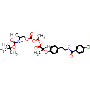 CC(COC(=O)OC(C)OC(=O)C(C)(C)Oc1ccc(CCNC(=O)c2ccc(Cl)cc2)cc1)NC(=O)OC(C)(C)C